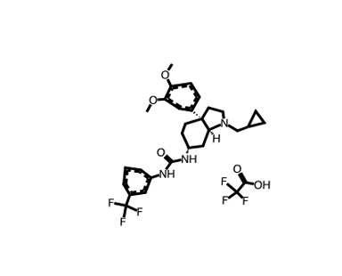 COc1ccc([C@@]23CC[C@@H](NC(=O)Nc4cccc(C(F)(F)F)c4)C[C@@H]2N(CC2CC2)CC3)cc1OC.O=C(O)C(F)(F)F